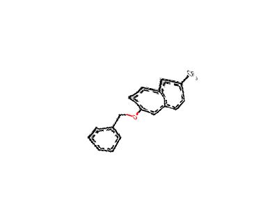 FC(F)(F)c1ccc2cc(OCc3ccccc3)ccc2c1